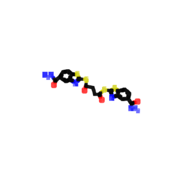 NC(=O)c1ccc2sc(SC(=O)CCC(=O)Sc3nc4cc(C(N)=O)ccc4s3)nc2c1